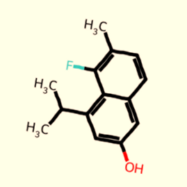 Cc1ccc2cc(O)cc(C(C)C)c2c1F